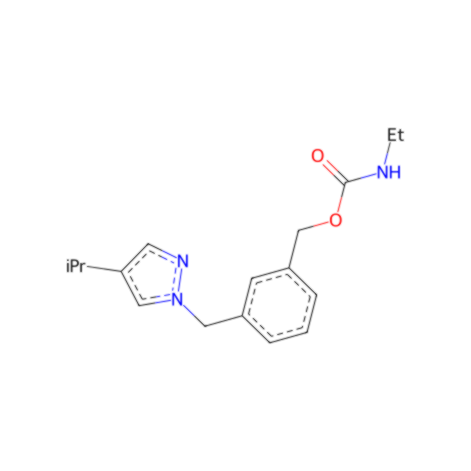 CCNC(=O)OCc1cccc(Cn2cc(C(C)C)cn2)c1